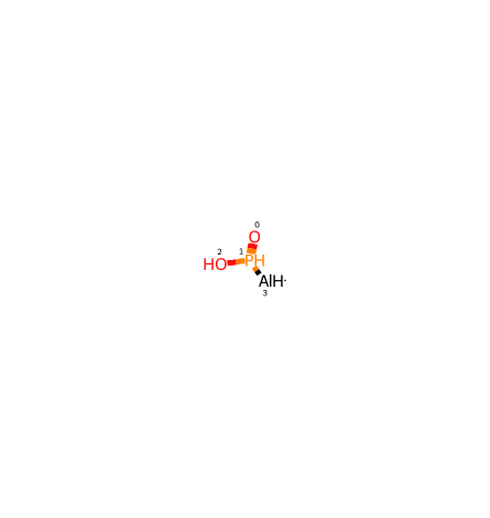 O=[PH](O)[AlH]